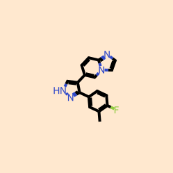 Cc1cc(-c2n[nH]cc2-c2ccc3nccn3c2)ccc1F